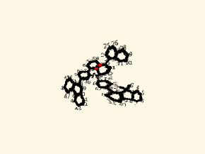 CC1(C)c2ccccc2-c2cccc(-c3ccc(N(c4ccc(-c5cccc6ccccc56)cc4)c4cc(-c5cc6ccccc6c6ccccc56)ccc4-c4ccccc4)cc3)c21